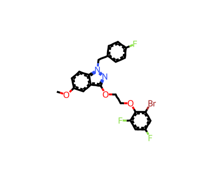 COc1ccc2c(c1)c(OCCOc1c(F)cc(F)cc1Br)nn2Cc1ccc(F)cc1